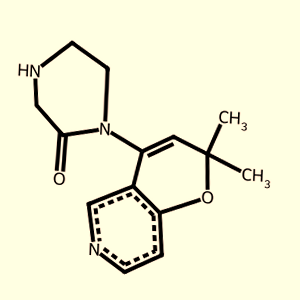 CC1(C)C=C(N2CCNCC2=O)c2cnccc2O1